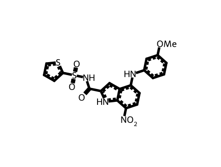 COc1cccc(Nc2ccc([N+](=O)[O-])c3[nH]c(C(=O)NS(=O)(=O)c4cccs4)cc23)c1